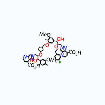 COc1cc(C(O)C(Cn2cc3nccc(C(=O)O)c3n2)OC2CCC(COc3cc(C(O)C(Cn4cc5nccc(C(=O)O)c5n4)OCCc4ccc(F)cc4)cc(OC)c3C)C2)c(C)cc1C